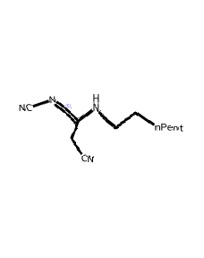 CCCCCCCN/C(CC#N)=N/C#N